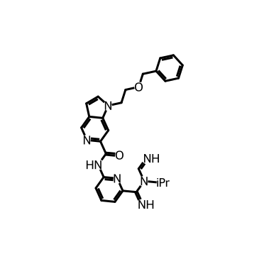 CC(C)N(C=N)C(=N)c1cccc(NC(=O)c2cc3c(ccn3CCOCc3ccccc3)cn2)n1